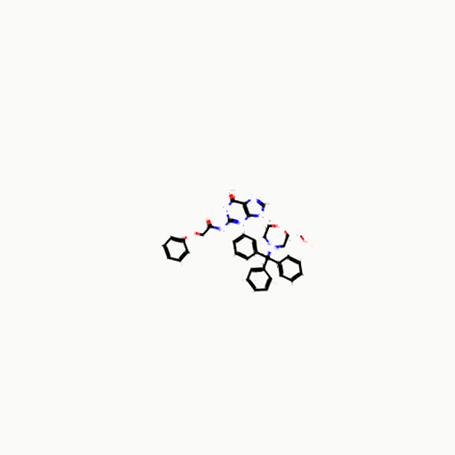 O=C(COc1ccccc1)Nc1nc2c(ncn2[C@H]2CN(C(c3ccccc3)(c3ccccc3)c3ccccc3)C[C@@H](CO)O2)c(=O)[nH]1